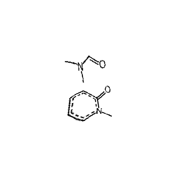 CN(C)C=O.Cn1ccccc1=O